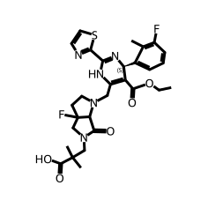 CCOC(=O)C1=C(CN2CCC3(F)CN(CC(C)(C)C(=O)O)C(=O)C23)NC(c2nccs2)=N[C@H]1c1cccc(F)c1C